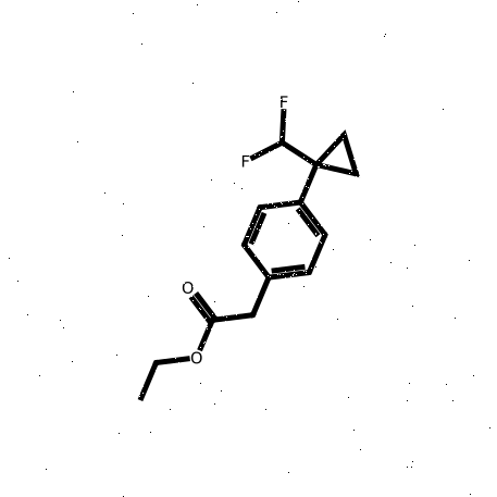 CCOC(=O)Cc1ccc(C2(C(F)F)CC2)cc1